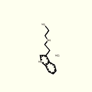 Cl.SCCNCCc1c[nH]c2ccccc12